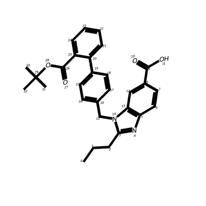 CCCc1nc2ccc(C(=O)O)cc2n1Cc1ccc(-c2ccccc2C(=O)OC(C)(C)C)cc1